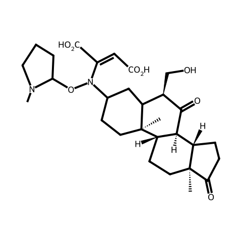 CN1CCCC1ON(/C(=C\C(=O)O)C(=O)O)C1CC[C@@]2(C)C(C1)[C@@H](CO)C(=O)[C@@H]1[C@@H]2CC[C@]2(C)C(=O)CC[C@@H]12